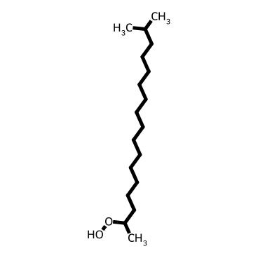 CC(C)CCCCCCCCCCCCCC(C)OO